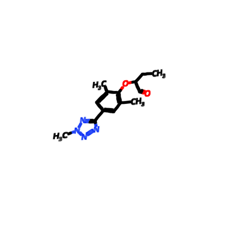 CCC(C=O)Oc1c(C)cc(-c2nnn(C)n2)cc1C